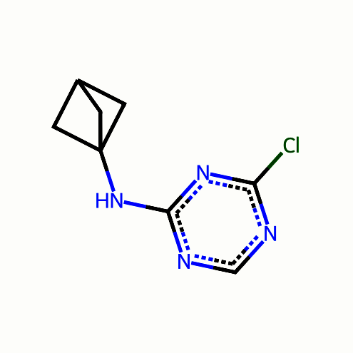 Clc1ncnc(NC23CC(C2)C3)n1